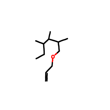 C=CCOCC(C)C(C)C(C)CC